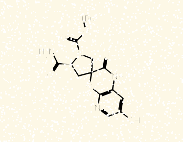 Cc1cnc2c(c1)NC(=O)C1(C[C@@H](C(N)=O)N(C(=O)OC(C)(C)C)C1)O2